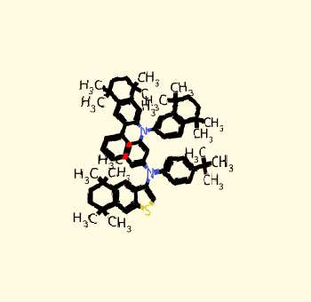 Cc1cc(N(c2ccc3c(c2)C(C)(C)CCC3(C)C)c2cc3c(cc2-c2ccccc2)C(C)(C)CCC3(C)C)cc(N(c2ccc(C(C)(C)C)cc2)c2csc3cc4c(cc23)C(C)(C)CCC4(C)C)c1